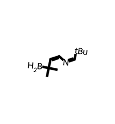 BC(C)(C)/C=C\N=C/C(C)(C)C